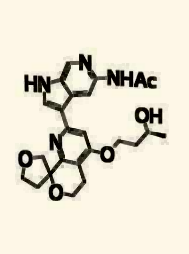 CC(=O)Nc1cc2c(-c3cc(OCC[C@H](C)O)c4c(n3)C3(CCOC3)OCC4)c[nH]c2cn1